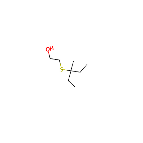 CCC(C)(CC)SCCO